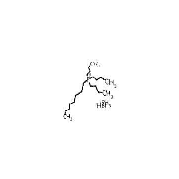 Br.CCCCCCCC[PH](CCCC)(CCCC)CCCC.P